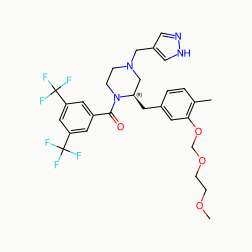 COCCOCOc1cc(C[C@@H]2CN(Cc3cn[nH]c3)CCN2C(=O)c2cc(C(F)(F)F)cc(C(F)(F)F)c2)ccc1C